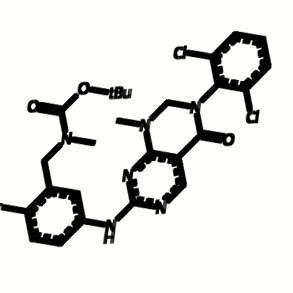 CN(Cc1cc(Nc2ncc3c(n2)N(C)CN(c2c(Cl)cccc2Cl)C3=O)ccc1Br)C(=O)OC(C)(C)C